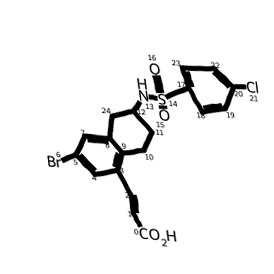 O=C(O)C=Cc1cc(Br)cc2c1CCC(NS(=O)(=O)c1ccc(Cl)cc1)C2